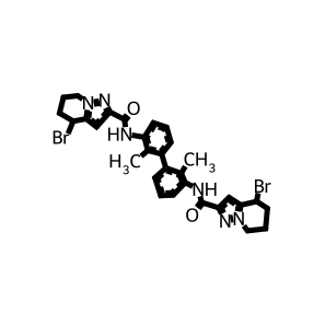 Cc1c(NC(=O)c2cc3n(n2)CCCC3Br)cccc1-c1cccc(NC(=O)c2cc3n(n2)CCCC3Br)c1C